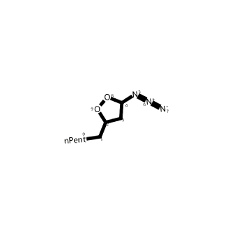 CCCCCCC1CC(N=[N+]=[N-])OO1